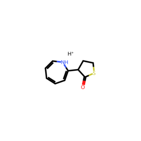 O=C1SCCC1C1=CC=CC=CN1.[H+]